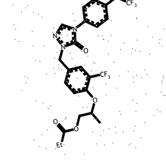 CCC(=O)OCC(C)Oc1ccc(Cn2ncn(-c3ccc(OC(F)(F)F)cc3)c2=O)cc1C(F)(F)F